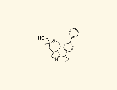 C[C@]1(CO)Cc2nnc(C3(c4ccc(-c5ccccc5)cc4)CC3)n2CCS1